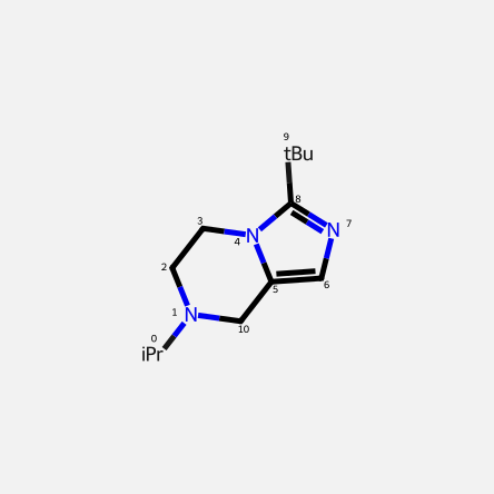 CC(C)N1CCn2c(cnc2C(C)(C)C)C1